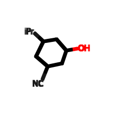 CC(C)C1CC(O)CC(C#N)C1